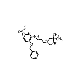 CC1(C)C[C@H](CCCNc2nc([SH](=O)=O)ccc2OCc2ccccc2)CN1